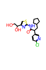 O=C(Nc1nc(C(O)CO)cs1)C(CC1CCCC1)c1ccc(Cl)nc1